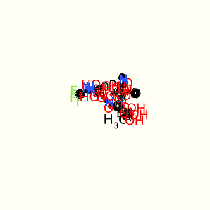 CCC[C@H](OC1C(OC(=O)c2ccccc2)[C@H](O[C@@H]2CC(C(=O)NCCO[C@H]3OC(CO)[C@@H](O)C(n4cc(-c5cc(F)c(F)c(F)c5)nn4)C3O)CC(CC)C2O[C@@H]2OC(C)[C@@H](O)C(O)C2O)OC(CO)[C@@H]1O)C(=O)N1CCC1